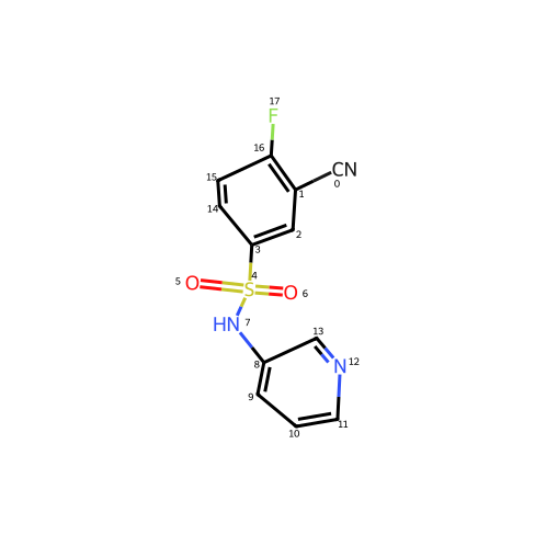 N#Cc1cc(S(=O)(=O)Nc2cccnc2)ccc1F